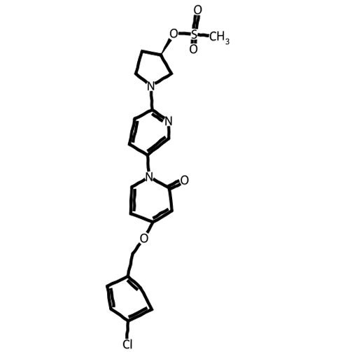 CS(=O)(=O)O[C@@H]1CCN(c2ccc(-n3ccc(OCc4ccc(Cl)cc4)cc3=O)cn2)C1